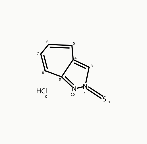 Cl.S=[N+]1C=c2ccccc2=N1